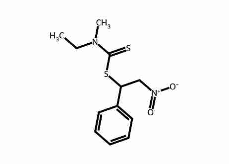 CCN(C)C(=S)SC(C[N+](=O)[O-])c1ccccc1